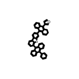 C1=Cc2c(c(-c3ccoc3)c3ccccc3c2-c2ccc3c(c2)sc2c(-c4c5ccccc5c(-c5ccccc5)c5ccccc45)cccc23)CC1